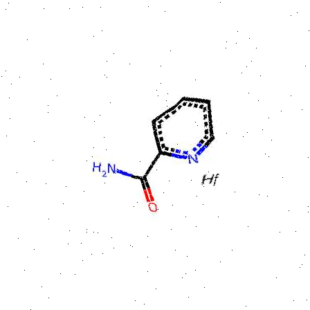 NC(=O)c1ccccn1.[Hf]